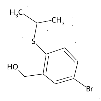 CC(C)Sc1ccc(Br)cc1CO